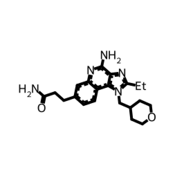 CCc1nc2c(N)nc3cc(CCC(N)=O)ccc3c2n1CC1CCOCC1